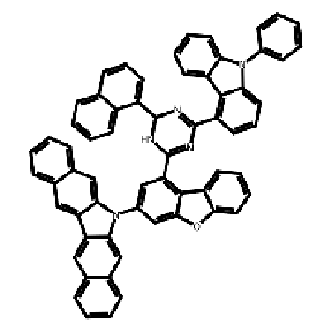 c1ccc(-n2c3ccccc3c3c(C4=NC(c5cccc6ccccc56)NC(c5cc(-n6c7cc8ccccc8cc7c7cc8ccccc8cc76)cc6oc7ccccc7c56)=N4)cccc32)cc1